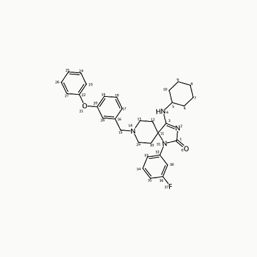 O=C1N=C(NC2CCCCC2)C2(CCN(Cc3cccc(Oc4ccccc4)c3)CC2)N1c1cccc(F)c1